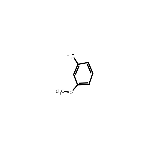 Cc1cccc(OC(Cl)(Cl)Cl)c1